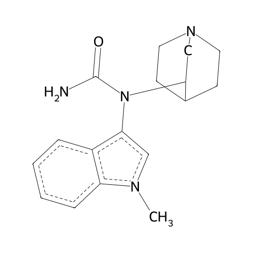 Cn1cc(N(C(N)=O)C2CN3CCC2CC3)c2ccccc21